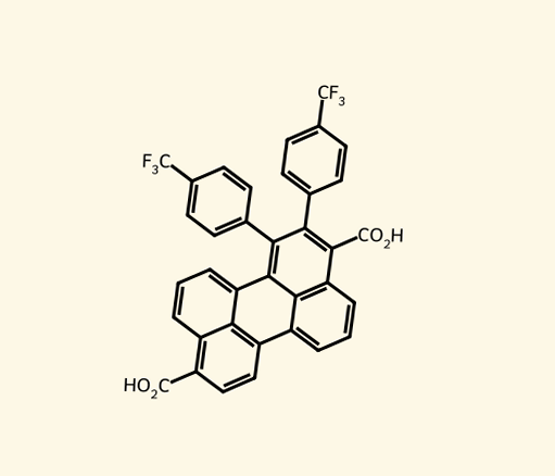 O=C(O)c1ccc2c3cccc4c(C(=O)O)c(-c5ccc(C(F)(F)F)cc5)c(-c5ccc(C(F)(F)F)cc5)c(c5cccc1c25)c43